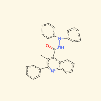 Cc1c(-c2ccccc2)nc2ccccc2c1C(=O)NN(c1ccccc1)c1ccccc1